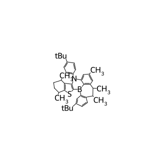 Cc1cc2c3c(c1)N(c1ccc(C(C)(C)C)cc1)c1c(sc4c1C(C)CCC4C)B3c1cc(C(C)(C)C)ccc1C(C)C2C